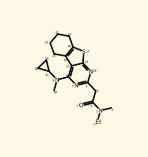 CCN(C)C(=O)Cc1nc(N(C)C2CC2)c2c3c(sc2n1)CCCC3